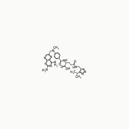 CC(C)n1nncc1CNC(=O)CCC(NC(=O)c1ccc(N(C)Cc2cnc3nc(N)nc(N)c3n2)cc1)C(=O)O